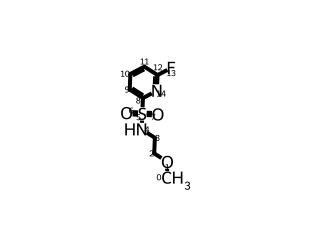 COCCNS(=O)(=O)c1cccc(F)n1